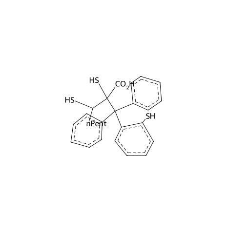 CCCCCC(S)C(S)(C(=O)O)C(c1ccccc1)(c1ccccc1)c1ccccc1S